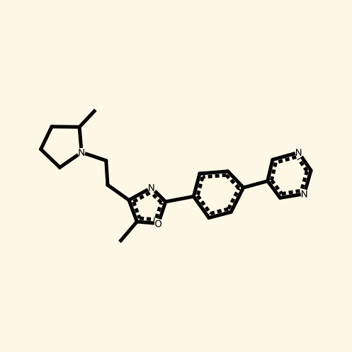 Cc1oc(-c2ccc(-c3cncnc3)cc2)nc1CCN1CCCC1C